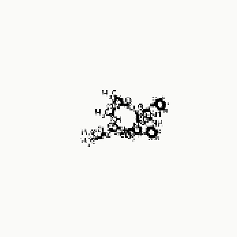 C[C@@H]1C[C@H]2C(=O)OC[C@H](NC(=O)[C@H](Cc3ccccc3)NC(=O)Nc3ccccc3)C(=O)N3CCC[C@H]3C(=O)N(C)[C@@H](CCOC(=O)CN(C)C)C(=O)N[C@@H](C)C(=O)N2C1